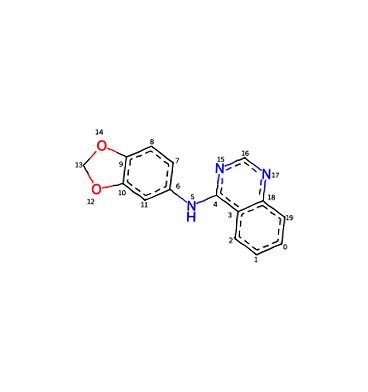 c1ccc2c(Nc3ccc4c(c3)OCO4)ncnc2c1